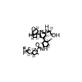 Cc1ccc(NC(=O)N2CC[C@@H](CC(F)(F)F)C2)cc1-c1cc(N[C@H](C)CO)nc([C@]23CCOC[C@H]2CC3)c1